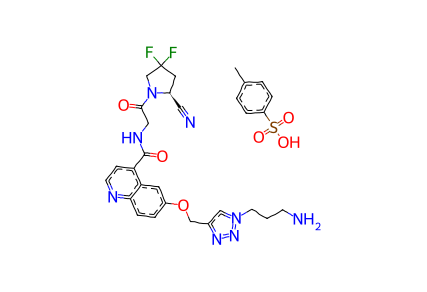 Cc1ccc(S(=O)(=O)O)cc1.N#C[C@@H]1CC(F)(F)CN1C(=O)CNC(=O)c1ccnc2ccc(OCc3cn(CCCN)nn3)cc12